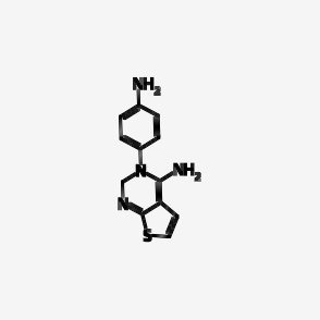 NC1=c2ccsc2=NCN1c1ccc(N)cc1